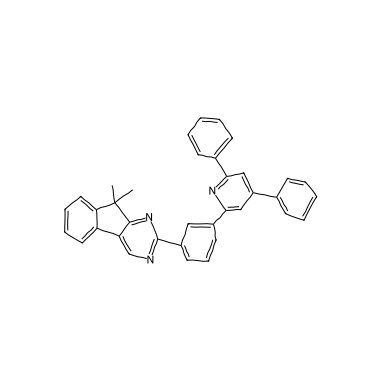 CC1(C)c2ccccc2-c2cnc(-c3cccc(-c4cc(-c5ccccc5)cc(-c5ccccc5)n4)c3)nc21